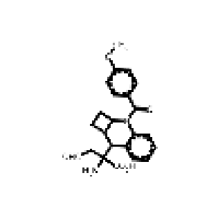 NC(CC=O)(C(=O)O)C1c2ccccc2N(C(=O)c2ccc(OC(F)(F)F)cc2)C2CCC21